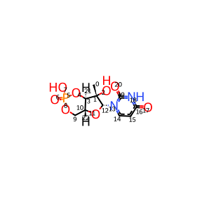 C[C@]1(O)[C@@H]2OP(=O)(O)OC[C@H]2O[C@H]1n1ccc(=O)[nH]c1=O